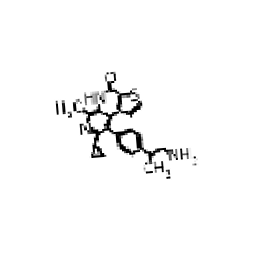 Cc1nc(C2CC2)c(-c2ccc(C(C)CN)cc2)c2c1[nH]c(=O)c1sccc12